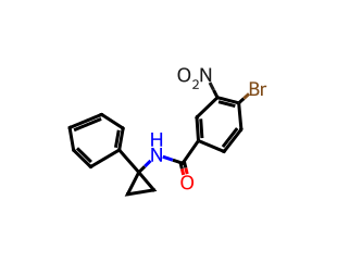 O=C(NC1(c2ccccc2)CC1)c1ccc(Br)c([N+](=O)[O-])c1